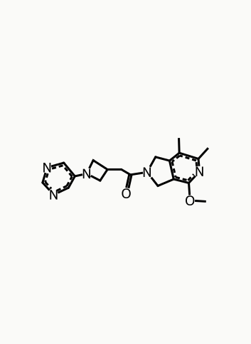 COc1nc(C)c(C)c2c1CN(C(=O)CC1CN(c3cncnc3)C1)C2